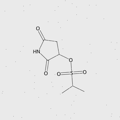 CC(C)S(=O)(=O)OC1CC(=O)NC1=O